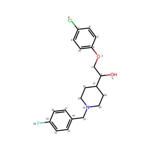 OC(COc1ccc(Cl)cc1)C1CCN(Cc2ccc(F)cc2)CC1